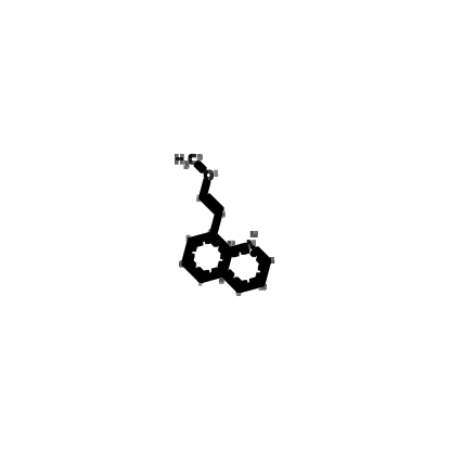 COC=Cc1cccc2cccnc12